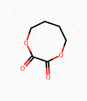 O=C1OCCCCOC1=O